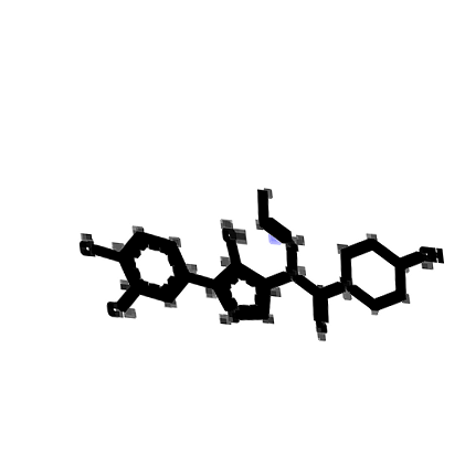 C/C=N/N(C(=S)N1CCC(O)CC1)c1csc(-c2ccc(Cl)c(Cl)c2)c1O